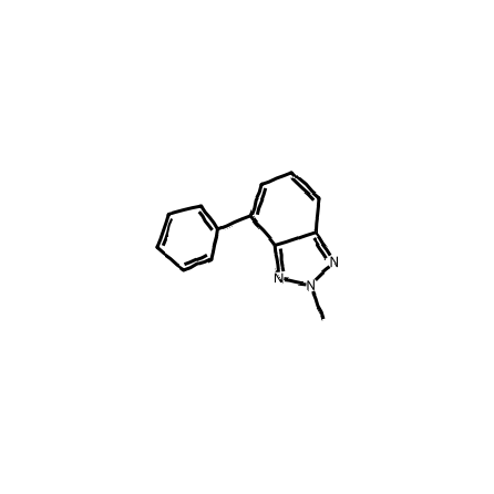 Cn1nc2cccc(-c3ccccc3)c2n1